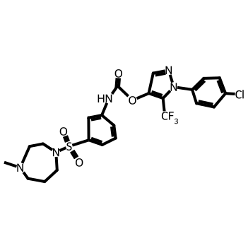 CN1CCCN(S(=O)(=O)c2cccc(NC(=O)Oc3cnn(-c4ccc(Cl)cc4)c3C(F)(F)F)c2)CC1